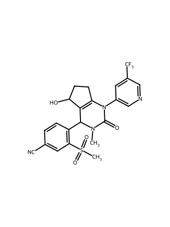 CN1C(=O)N(c2cncc(C(F)(F)F)c2)C2=C(C(O)CC2)C1c1ccc(C#N)cc1S(C)(=O)=O